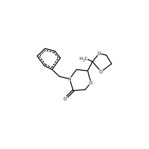 CC1(C2CN(Cc3ccccc3)C(=O)CO2)OCCO1